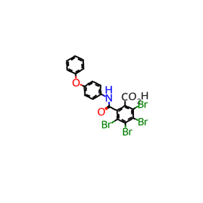 O=C(O)c1c(Br)c(Br)c(Br)c(Br)c1C(=O)Nc1ccc(Oc2ccccc2)cc1